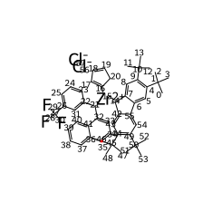 CC(C)(C)c1cc2c(cc1C(C)(C)C)[CH](/[Zr+2]([C]1=CC=CC1)=[C](/c1cccc(C(F)(F)F)c1)c1cccc3ccccc13)c1cc(C(C)(C)C)c(C(C)(C)C)cc1-2.[Cl-].[Cl-]